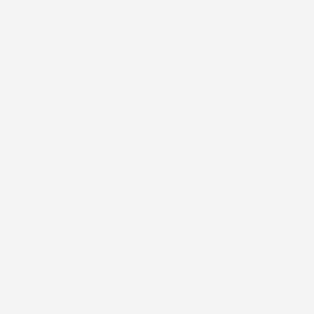 C=CCS[SiH3]